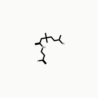 C=C(F)CCNC(=C)CC(C)(C)CCC(C)C(C)C